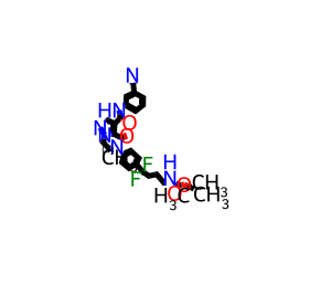 C[C@H]1Cn2ncc(C(=O)Nc3cccc(C#N)c3)c2C(=O)N1c1ccc(C(F)(F)CCCNC(=O)OC(C)(C)C)cc1